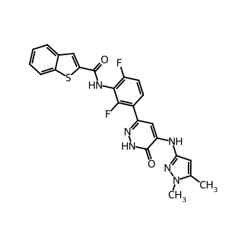 Cc1cc(Nc2cc(-c3ccc(F)c(NC(=O)c4cc5ccccc5s4)c3F)n[nH]c2=O)nn1C